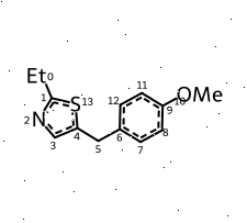 CCc1ncc(Cc2ccc(OC)cc2)s1